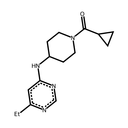 CCc1cc(NC2CCN(C(=O)C3CC3)CC2)ncn1